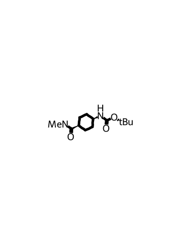 CNC(=O)[C@H]1CC[C@@H](NC(=O)OC(C)(C)C)CC1